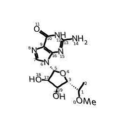 COC(C)[C@H]1O[C@@H](n2cnc3c(=O)[nH]c(N)nc32)[C@H](O)[C@@H]1O